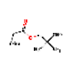 CCCCCCCC(=O)OCC(C)(C)C=O